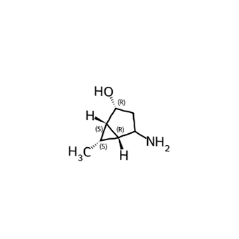 C[C@H]1[C@H]2C(N)C[C@@H](O)[C@@H]12